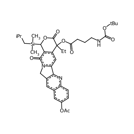 CCC1(OC(=O)CCCNC(=O)OC(C)(C)C)C(=O)OC([Si](C)(C)CC(C)C)c2c1cc1n(c2=O)Cc2cc3cc(OC(C)=O)ccc3nc2-1